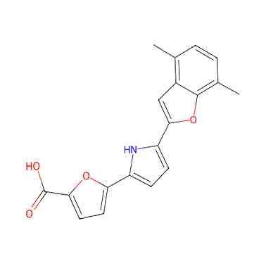 Cc1ccc(C)c2oc(-c3ccc(-c4ccc(C(=O)O)o4)[nH]3)cc12